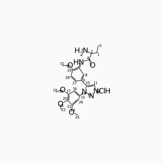 CCC(N)C(=O)Nc1cc(-c2cnnn2-c2cc(OC)c(OC)c(OC)c2)ccc1OC.Cl